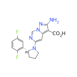 Nc1nn2cnc(N3CCC[C@@H]3c3cc(F)ccc3F)cc2c1C(=O)O